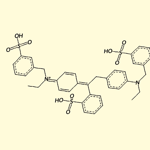 CCN(Cc1cccc(S(=O)(=O)O)c1)c1ccc(CC(=C2C=CC(=[N+](CC)Cc3cccc(S(=O)(=O)O)c3)C=C2)c2ccccc2S(=O)(=O)O)cc1